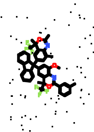 COc1cc(C2(c3cc(C)c4c(c3)C(C)(C(F)(F)F)OC(C)=N4)c3ccccc3-c3ccccc32)cc2c1N=C(c1cccc(C)c1)OC2(C)C(F)(F)F